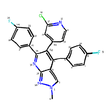 Cn1cc2c(-c3ccc(F)cc3)c(-c3ccnc(Cl)c3)c(-c3ccc(F)cc3)nc2n1